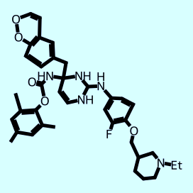 CCN1CCCC(COc2ccc(NC3NC=CC(Cc4ccc5c(c4)C=COO5)(NC(=O)Oc4c(C)cc(C)cc4C)N3)cc2F)C1